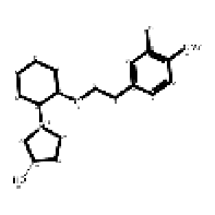 COc1ccc(CCO[C@@H]2CCCC[C@@H]2N2CC[C@H](O)C2)cc1C